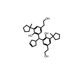 CC1(c2cc(CCO)cc(C(c3cc(CCO)cc(C4(C)CCCC4)c3O)C3CC=CC3)c2O)CCCC1